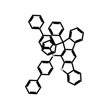 c1ccc(-c2ccc(N(c3ccc(-c4ccccc4)cc3)c3c4c(cc5c3oc3ccccc35)-c3ccccc3C4(c3ccccc3)c3ccccc3)cc2)cc1